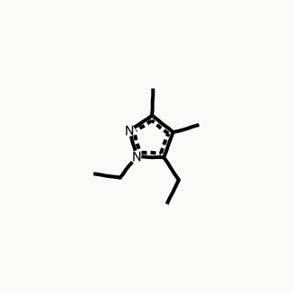 CCc1c(C)c(C)nn1CC